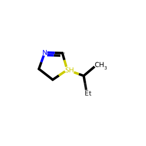 CCC(C)[SH]1[C]=NCC1